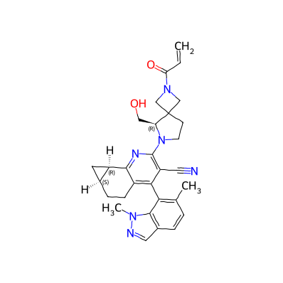 C=CC(=O)N1CC2(CCN(c3nc4c(c(-c5c(C)ccc6cnn(C)c56)c3C#N)CC[C@H]3C[C@@H]43)[C@H]2CO)C1